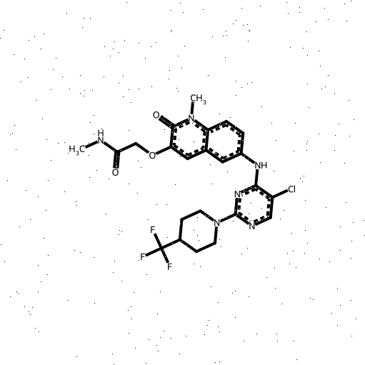 CNC(=O)COc1cc2cc(Nc3nc(N4CCC(C(F)(F)F)CC4)ncc3Cl)ccc2n(C)c1=O